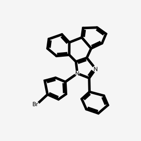 Brc1ccc(-n2c(-c3ccccc3)nc3c4ccccc4c4ccccc4c32)cc1